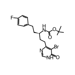 CC(C)(C)OC(=O)N[C@H](CCc1ccc(F)cc1)CCc1nc[nH]c(=O)c1Br